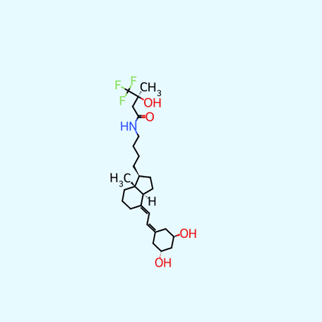 C[C@]12CCC/C(=C\C=C3C[C@@H](O)C[C@H](O)C3)[C@@H]1CC[C@@H]2CCCCNC(=O)C[C@](C)(O)C(F)(F)F